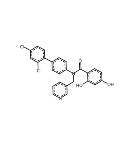 O=C(c1ccc(O)cc1O)N(Cc1cccnc1)c1ccc(-c2ccc(Cl)cc2Cl)cc1